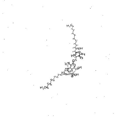 CCCCCCCCCCCC(O)CC(=O)NC(COC1OC(CO)C(OCP(=O)(O)O)C(NC(=O)CC(O)CCCCCCCCCCC)C1N)C(=O)O